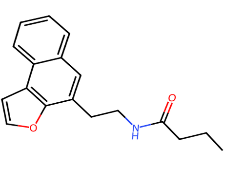 CCCC(=O)NCCc1cc2ccccc2c2ccoc12